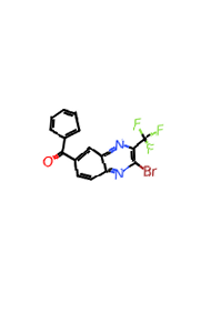 O=C(c1ccccc1)c1ccc2nc(Br)c(C(F)(F)F)nc2c1